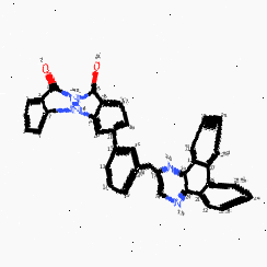 O=c1c2ccccc2n2c3cc(-c4cccc(-c5cnc6c7ccccc7c7ccccc7c6n5)c4)ccc3c(=O)n12